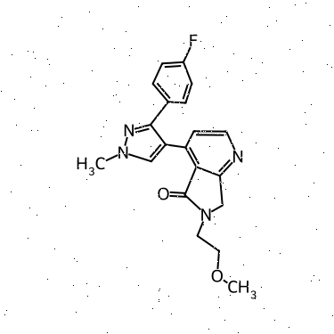 COCCN1Cc2nccc(-c3cn(C)nc3-c3ccc(F)cc3)c2C1=O